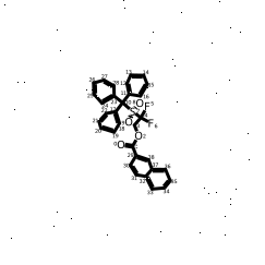 O=C(OCC(F)(F)S(=O)(=O)C(c1ccccc1)(c1ccccc1)c1ccccc1)c1ccc2ccccc2c1